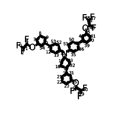 FC(F)=C(F)Oc1cccc(-c2ccc(N(c3ccc(-c4cccc(OC(F)=C(F)F)c4)cc3)c3ccc(-c4cccc(OC(F)=C(F)F)c4)cc3)cc2)c1